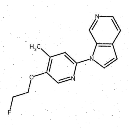 Cc1cc(-n2ccc3ccncc32)ncc1OCCF